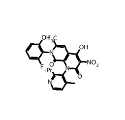 Cc1ccnc(C(C)C)c1-n1c(=O)c([N+](=O)[O-])c(O)c2cc(C(F)(F)F)n(-c3c(O)cccc3F)c(=O)c21